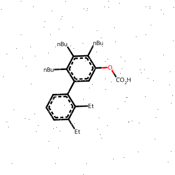 CCCCc1c(OC(=O)O)cc(-c2cccc(CC)c2CC)c(CCCC)c1CCCC